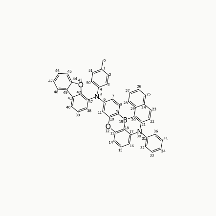 Cc1ccc(N(c2ccc3c(c2)Oc2cccc4c2B3c2c(ccc3ccccc23)N4c2ccccc2)c2cccc3c2oc2ccccc23)cc1